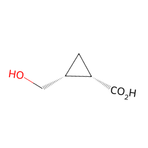 O=C(O)[C@H]1C[C@H]1CO